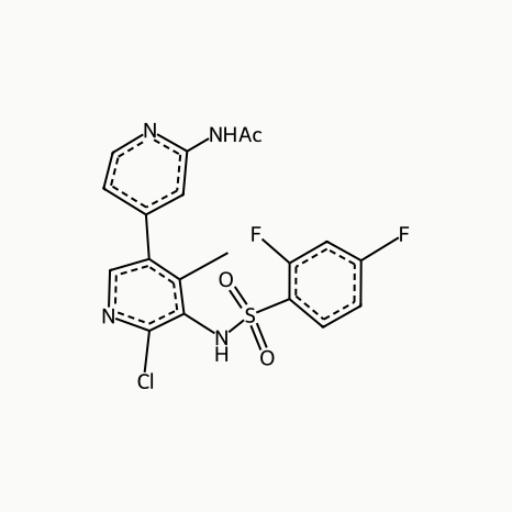 CC(=O)Nc1cc(-c2cnc(Cl)c(NS(=O)(=O)c3ccc(F)cc3F)c2C)ccn1